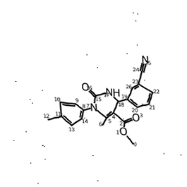 COC(=O)C1=C(C)N(c2ccc(C)cc2)C(=O)NC1c1cccc(C#N)c1